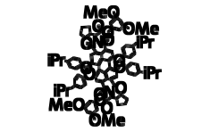 COc1cc(OC)cc(OC(=O)C(C2CCCC2)N2C(=O)c3cc(Oc4ccc(C(C)C)cc4)c4c5c(Oc6ccc(C(C)C)cc6)cc6c7c(cc(Oc8ccc(C(C)C)cc8)c(c8c(Oc9ccc(C(C)C)cc9)cc(c3c48)C2=O)c75)C(=O)N(C(C(=O)Oc2cc(OC)cc(OC)c2)C2CCCC2)C6=O)c1